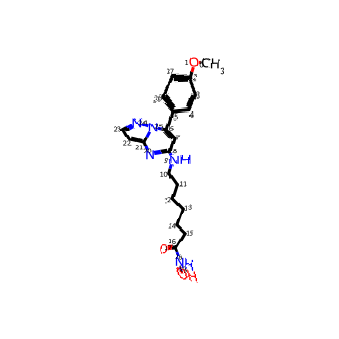 COc1ccc(-c2cc(NCCCCCCC(=O)NO)nc3ccnn23)cc1